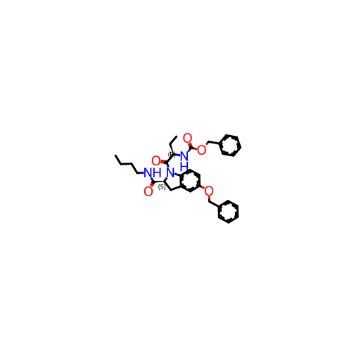 CCCCNC(=O)[C@@H]1Cc2cc(OCc3ccccc3)ccc2N1C(=O)[C@@H](CC)NC(=O)OCc1ccccc1